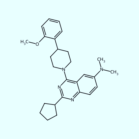 COc1ccccc1C1CCN(c2nc(C3CCCC3)nc3ccc(N(C)C)cc23)CC1